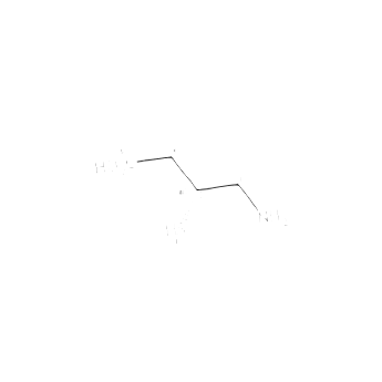 NC[C@H](S)CC(=O)O